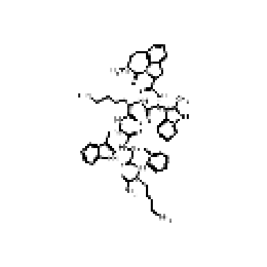 Cc1[nH]c2ccccc2c1[C@@H](NC(=O)C1Cc2cccc3c2N1C(=O)[C@@H](N)CC3)C(=O)N[C@H](CCCCN)C(=O)N[C@@H](Cc1c[nH]c2ccccc12)C(=O)N[C@H](Cc1ccccc1)C(=O)N[C@@H](CCCCN)C(N)=O